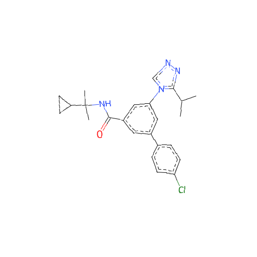 CC(C)c1nncn1-c1cc(C(=O)NC(C)(C)C2CC2)cc(-c2ccc(Cl)cc2)c1